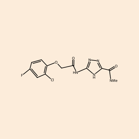 CNC(=O)c1nnc(NC(=O)COc2ccc(F)cc2Cl)[nH]1